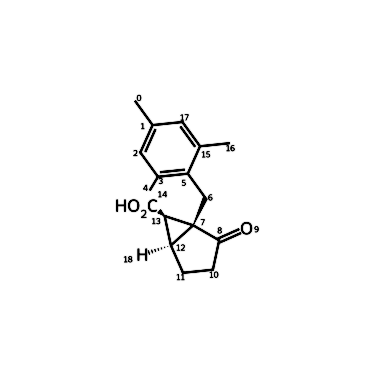 Cc1cc(C)c(C[C@@]23C(=O)CC[C@H]2[C@H]3C(=O)O)c(C)c1